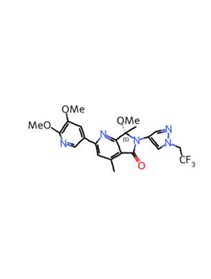 COc1cc(-c2cc(C)c3c(n2)[C@](C)(OC)N(c2cnn(CC(F)(F)F)c2)C3=O)cnc1OC